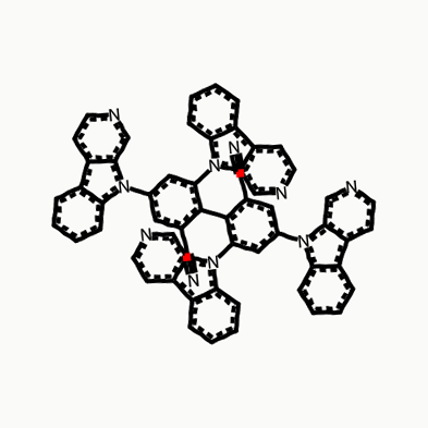 N#Cc1cc(-n2c3ccccc3c3ccncc32)cc(-n2c3ccccc3c3ccncc32)c1-c1c(C#N)cc(-n2c3ccccc3c3ccncc32)cc1-n1c2ccccc2c2ccncc21